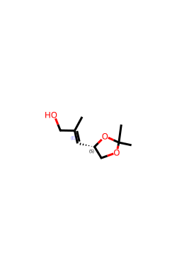 C/C(=C\[C@H]1COC(C)(C)O1)CO